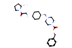 N#C[C@@H]1CCCN1C(=O)CN[C@H]1CC[C@H](CN2CCN(C(=O)OCc3ccccc3)CC2)CC1